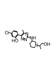 Cc1nc(NC2CCCN(C(C)CO)C2)nnc1-c1ccc(Cl)cc1O